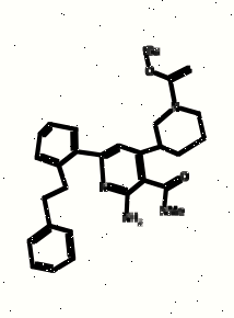 C=C(OC(C)(C)C)N1CCCC(c2cc(-c3ccccc3CCc3ccccc3)nc(N)c2C(=O)NC)C1